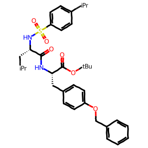 CC(C)C[C@H](NS(=O)(=O)c1ccc(C(C)C)cc1)C(=O)N[C@@H](Cc1ccc(OCc2ccccc2)cc1)C(=O)OC(C)(C)C